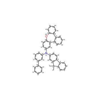 CC1(C)c2ccccc2-c2ccc(N(c3cccc(-c4ccccc4)c3)c3ccc4c(c3)-c3ccccc3-c3ccccc3O4)cc21